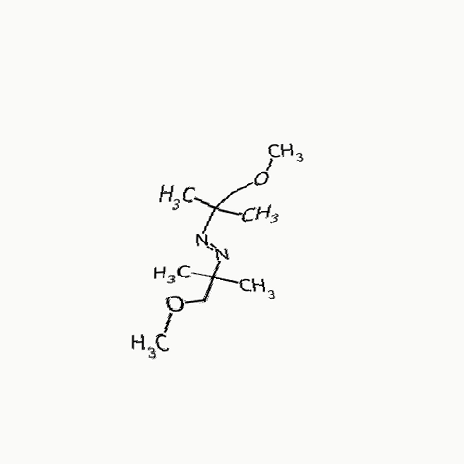 COCC(C)(C)N=NC(C)(C)COC